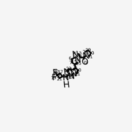 O=C(c1cnc2ccc(-c3ccn4nc(NC5CC(F)(F)C5)ncc34)cn12)N1CCCC1